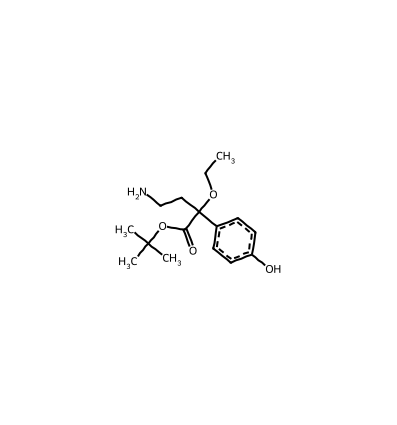 CCOC(CCN)(C(=O)OC(C)(C)C)c1ccc(O)cc1